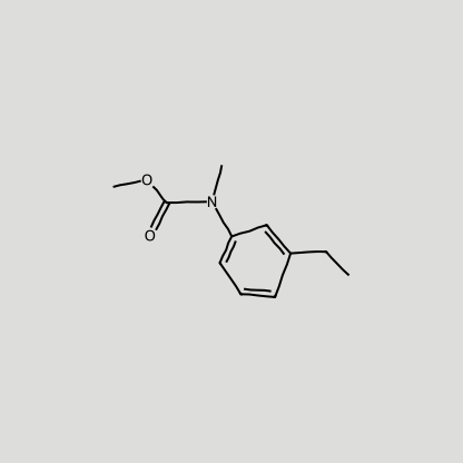 CCc1cccc(N(C)C(=O)OC)c1